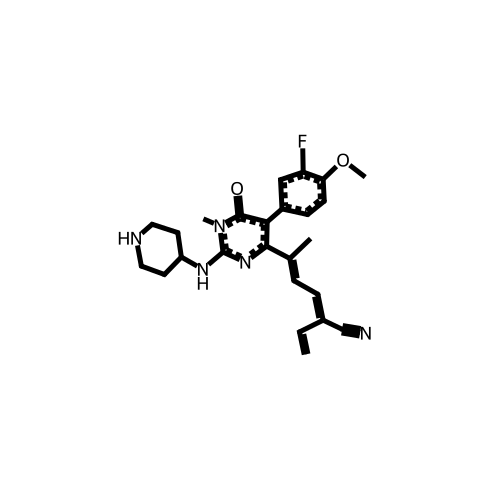 C=C/C(C#N)=C\C=C(/C)c1nc(NC2CCNCC2)n(C)c(=O)c1-c1ccc(OC)c(F)c1